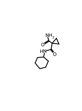 NC(=O)C1(C(=O)NC2CCCCC2)CC1